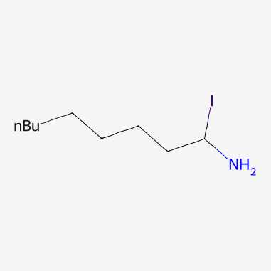 CCCCCCCCC(N)I